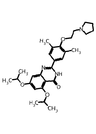 Cc1cc(-c2nc3cc(OC(C)C)cc(OC(C)C)c3c(=O)[nH]2)cc(C)c1OCCN1CCCC1